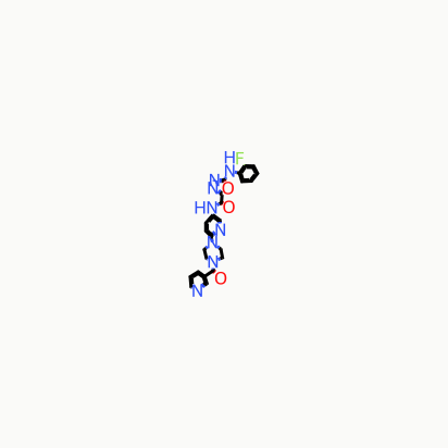 O=C(Nc1ccc(N2CCN(C(=O)c3cccnc3)CC2)nc1)c1nnc(Nc2ccccc2F)o1